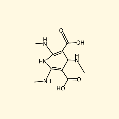 CNC1=C(C(=O)O)C(NC)C(C(=O)O)=C(NC)N1